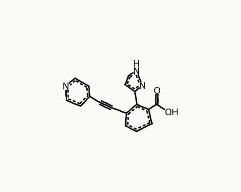 O=C(O)c1cccc(C#Cc2ccncc2)c1-c1cc[nH]n1